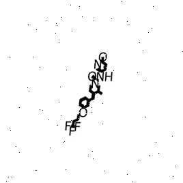 COc1ccc(NC(=O)N2CCC(=Cc3cccc(OCCCC(F)(F)F)c3)C(C)C2)cn1